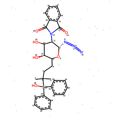 CC(C)(CCC1O[C@@H](N=[N+]=[N-])C(N2C(=O)c3ccccc3C2=O)C(O)[C@@H]1O)[Si](O)(c1ccccc1)c1ccccc1